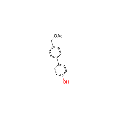 CC(=O)OCc1ccc(-c2ccc(O)cc2)cc1